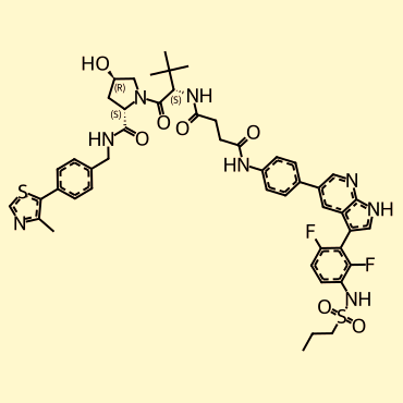 CCCS(=O)(=O)Nc1ccc(F)c(-c2c[nH]c3ncc(-c4ccc(NC(=O)CCC(=O)N[C@H](C(=O)N5C[C@H](O)C[C@H]5C(=O)NCc5ccc(-c6scnc6C)cc5)C(C)(C)C)cc4)cc23)c1F